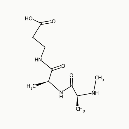 CN[C@@H](C)C(=O)N[C@@H](C)C(=O)NCCC(=O)O